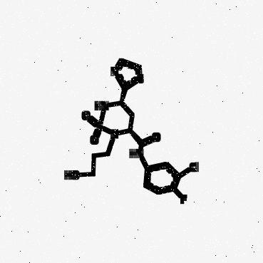 O=C(Nc1ccc(F)c(Cl)c1)[C@@H]1C[C@H](c2nccs2)NS(=O)(=O)N1CCCO